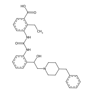 CCc1c(NC(=O)Nc2ccccc2C(O)CN2CCC(Cc3ccccc3)CC2)cccc1C(=O)O